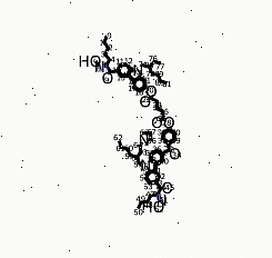 CCCCC/C(=N\O)C(=O)c1ccc2c(c1)c1ccc(OC(=O)CCCC(=O)Oc3ccc(C(=O)c4ccc5c(c4)c4cc(C(=O)/C(CCCC)=N/O)ccc4n5CC(CCCC)CCN4CCC4)cc3)cc1n2CC(CC)CCCC